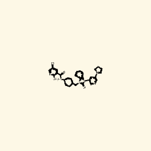 Cc1ncc(Cl)cc1C(=O)NC1CCC(Cn2c(=O)n(-c3cncc(N4CCCC4)c3)c3ccccc32)CC1